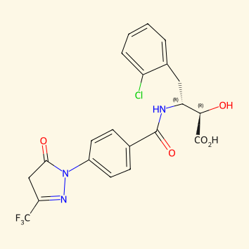 O=C(N[C@H](Cc1ccccc1Cl)[C@@H](O)C(=O)O)c1ccc(N2N=C(C(F)(F)F)CC2=O)cc1